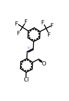 O=Cc1cc(Cl)ccc1/C=C/c1cc(C(F)(F)F)cc(C(F)(F)F)c1